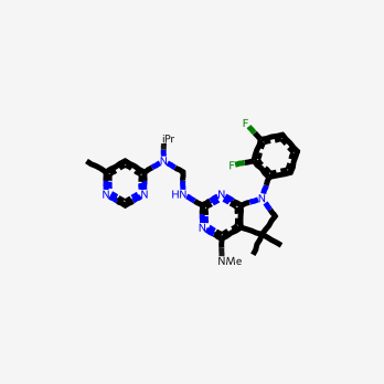 CNc1nc(NCN(c2cc(C)ncn2)C(C)C)nc2c1C(C)(C)CN2c1cccc(F)c1F